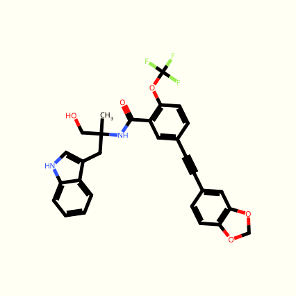 CC(CO)(Cc1c[nH]c2ccccc12)NC(=O)c1cc(C#Cc2ccc3c(c2)OCO3)ccc1OC(F)(F)F